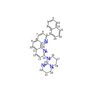 c1ccc2c(-c3ccc4ccc5ccc(N6CCCN7CCCN=C76)nc5c4n3)cccc2c1